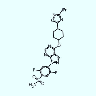 CC(C)c1noc(C2CCC(Oc3ncnc4c3cnn4-c3cc(F)c(S(N)(=O)=O)cc3F)CC2)n1